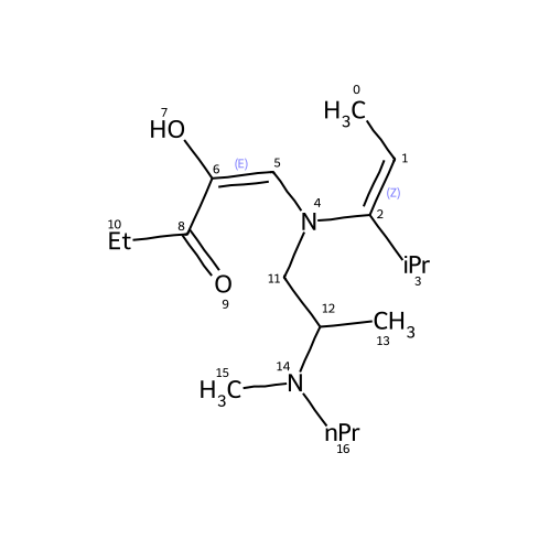 C/C=C(/C(C)C)N(/C=C(/O)C(=O)CC)CC(C)N(C)CCC